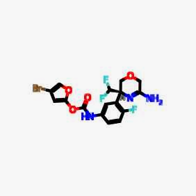 NC1=N[C@@](c2cc(NC(=O)Oc3cc(Br)co3)ccc2F)(C(F)F)COC1